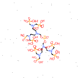 O=[PH](OCN(CCN(CP(=O)(O)O)CP(=O)(O)O)CCN(CP(=O)(O)O)CP(=O)(O)O)OCN(CCN(CP(=O)(O)O)CP(=O)(O)O)CCN(CP(=O)(O)O)CP(=O)(O)O